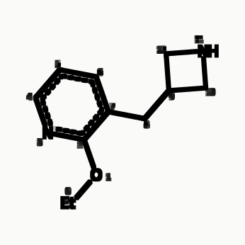 CCOc1ncccc1CC1CNC1